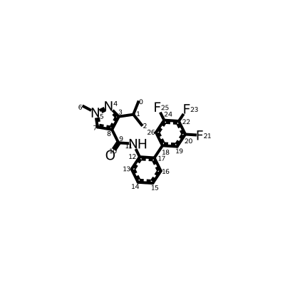 CC(C)c1nn(C)cc1C(=O)Nc1ccccc1-c1cc(F)c(F)c(F)c1